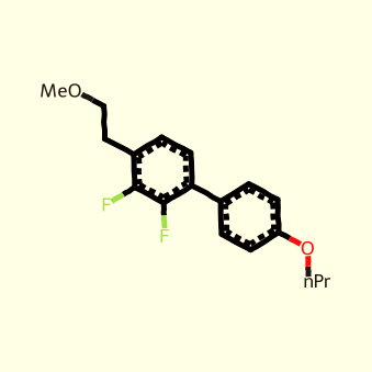 CCCOc1ccc(-c2ccc(CCOC)c(F)c2F)cc1